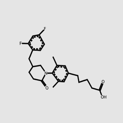 Cc1cc(CCCCC(=O)O)cc(C)c1N1CC(Cc2ccc(F)cc2F)CCC1=O